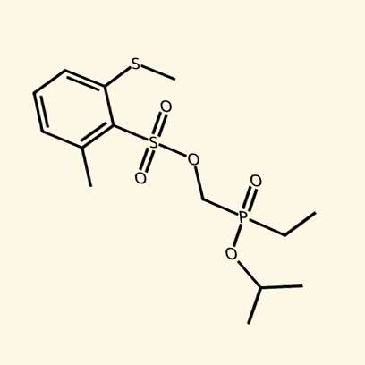 CCP(=O)(COS(=O)(=O)c1c(C)cccc1SC)OC(C)C